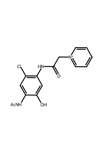 CC(=O)Nc1cc(Cl)c(NC(=O)C[n+]2ccccc2)cc1O